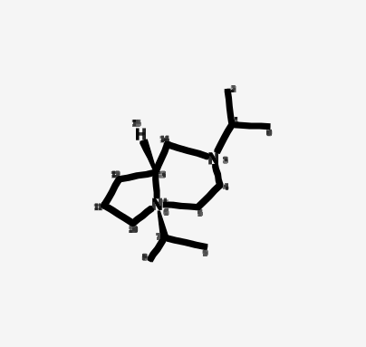 CC(C)N1CC[N@+]2(C(C)C)CCC[C@@H]2C1